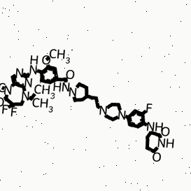 COc1cc(C(=O)NN2CCC(CCN3CCN(c4ccc(NC5CCC(=O)NC5=O)c(F)c4)CC3)CC2)ccc1Nc1ncc2c(n1)N(C(C)C)CC(F)(F)C(=O)N2C